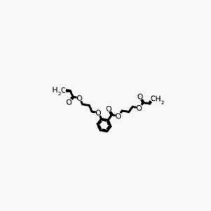 C=CC(=O)OCCCOC(=O)c1ccccc1OCCCOC(=O)C=C